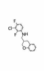 Fc1ccc(NCC2COc3ccccc3C2)c(F)c1Cl